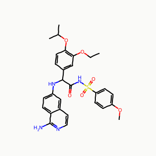 CCOc1cc(C(Nc2ccc3c(N)nccc3c2)C(=O)NS(=O)(=O)c2ccc(OC)cc2)ccc1OC(C)C